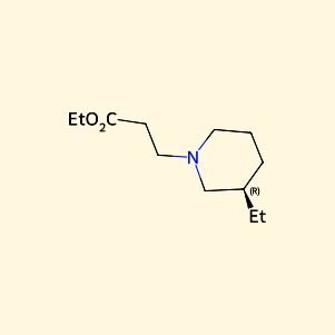 CCOC(=O)CCN1CCC[C@@H](CC)C1